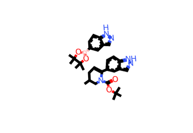 CC1(C)OB(c2ccc3[nH]ncc3c2)OC1(C)C.CC1CC=C(c2ccc3[nH]ncc3c2)N(C(=O)OC(C)(C)C)C1